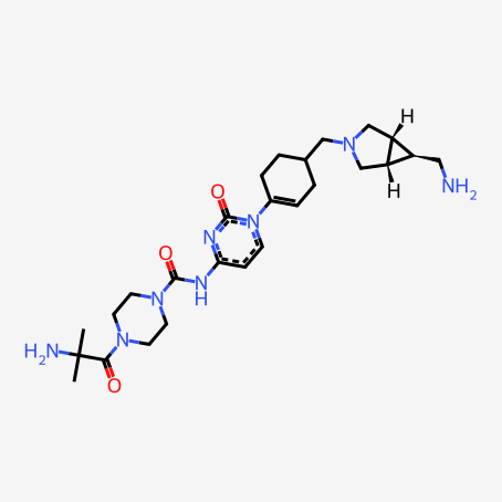 CC(C)(N)C(=O)N1CCN(C(=O)Nc2ccn(C3=CCC(CN4C[C@@H]5[C@@H](CN)[C@@H]5C4)CC3)c(=O)n2)CC1